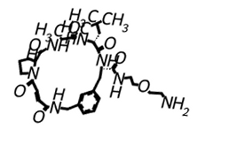 C[C@@H]1NC(=O)[C@H]2CCCN2C(=O)/C=C/C(=O)NCc2cccc(c2)C[C@@H](C(=O)NCCOCCN)NC(=O)[C@@H](CC(C)(C)C)NC1=O